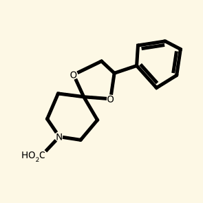 O=C(O)N1CCC2(CC1)OCC(c1ccccc1)O2